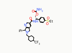 CCS(=O)(=O)c1ccc([C@@H](COC(N)=O)NC(=O)c2cnc3c(c2)CN(CC2CCC(C(F)(F)F)CC2)C3C(C)C)cc1